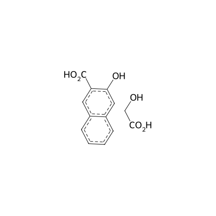 O=C(O)CO.O=C(O)c1cc2ccccc2cc1O